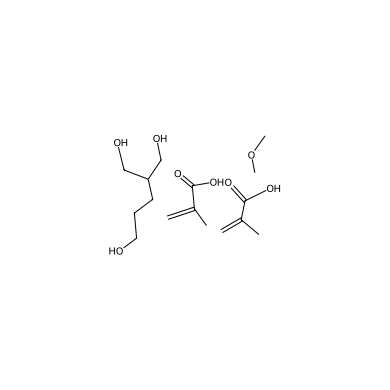 C=C(C)C(=O)O.C=C(C)C(=O)O.COC.OCCCC(CO)CO